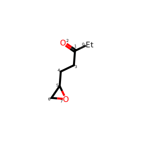 CCC(=O)CCC1CO1